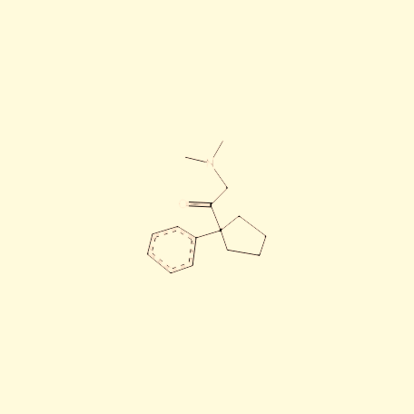 CN(C)CC(=O)C1(c2ccccc2)CCCC1